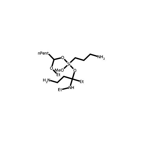 CCCCCC(OCC)O[Si](CCCN)(OC)OC(CC)(CCN)NCC